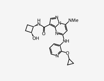 CNc1cc(Nc2cccnc2OC2CC2)nc2c(C(=O)N[C@@H]3CC[C@@H]3O)cnn12